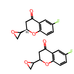 O=C1CC(C2CO2)Oc2ccc(F)cc21.O=C1C[C@H](C2CO2)Oc2ccc(F)cc21